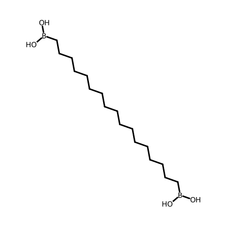 OB(O)CCCCCCCCCCCCCCCCCB(O)O